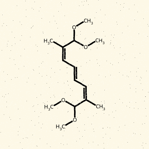 COC(OC)C(C)=C/C=C/C=C(C)C(OC)OC